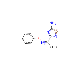 Nc1nc(/C([C]=O)=N\Oc2ccccc2)ns1